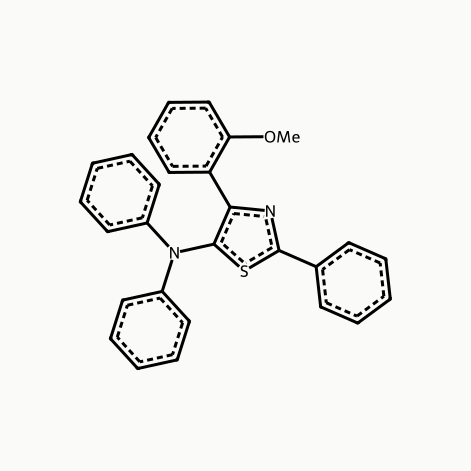 COc1ccccc1-c1nc(-c2ccccc2)sc1N(c1ccccc1)c1ccccc1